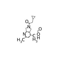 Cc1cc(C)c2c(n1)CN(C(=O)CC1CC1)C2.O=CO